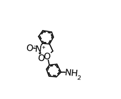 Nc1cccc(OCc2ccccc2[N+](=O)[O-])c1